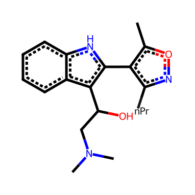 CCCc1noc(C)c1-c1[nH]c2ccccc2c1C(O)CN(C)C